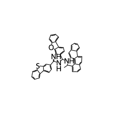 CC(NC(NC(=N)c1ccc2c(c1)sc1ccccc12)c1ccc2c(c1)oc1ccccc12)c1cccc2ccc3c4ccccc4ccc3c12